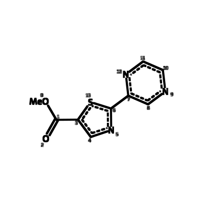 COC(=O)c1cnc(-c2cnccn2)s1